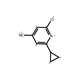 N#Cc1cc(Cl)nc(C2CC2)c1